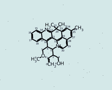 C=CC(CO)C1C(COC)c2c3c(nc4ccccc24)C(C)(C)c2cc(C)cc4cc[n+]1c-3c24